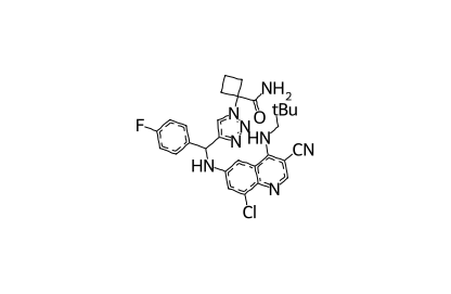 CC(C)(C)CNc1c(C#N)cnc2c(Cl)cc(NC(c3ccc(F)cc3)c3cn(C4(C(N)=O)CCC4)nn3)cc12